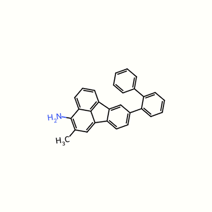 Cc1cc2c3c(cccc3c1N)-c1cc(-c3ccccc3-c3ccccc3)ccc1-2